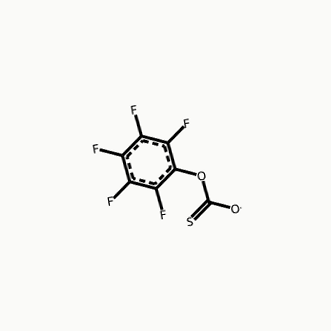 [O]C(=S)Oc1c(F)c(F)c(F)c(F)c1F